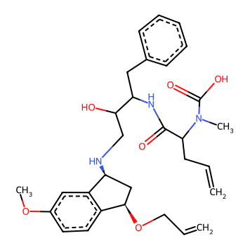 C=CCO[C@@H]1C[C@H](NCC(O)C(Cc2ccccc2)NC(=O)C(CC=C)N(C)C(=O)O)c2cc(OC)ccc21